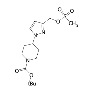 CC(C)(C)OC(=O)N1CCC(n2ccc(COS(C)(=O)=O)n2)CC1